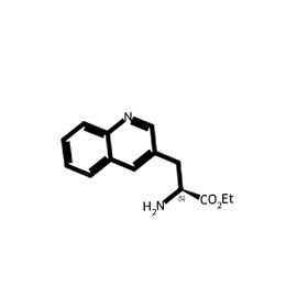 CCOC(=O)[C@@H](N)Cc1cnc2ccccc2c1